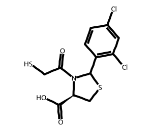 O=C(O)[C@@H]1CSC(c2ccc(Cl)cc2Cl)N1C(=O)CS